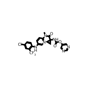 CN(C(=O)C1(NC(=O)Oc2cncnc2)CC1)c1ccc(Nc2ccc(Cl)cc2C(F)(F)F)cn1